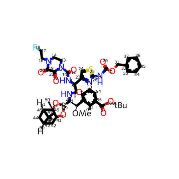 COc1c(C[C@H](NC(=O)C(NC(=O)N2CCN(CCF)C(=O)C2=O)c2csc(NC(=O)OCc3ccccc3)n2)B2OC3C[C@@H]4C[C@@H](C4(C)C)[C@]3(C)O2)cccc1C(=O)OC(C)(C)C